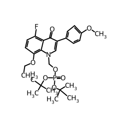 CCOc1ccc(F)c2c(=O)c(-c3ccc(OC)cc3)cn(COP(=O)(OC(C)(C)C)OC(C)(C)C)c12